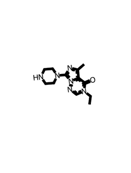 CCn1cnn2c(N3CCNCC3)nc(C)c2c1=O